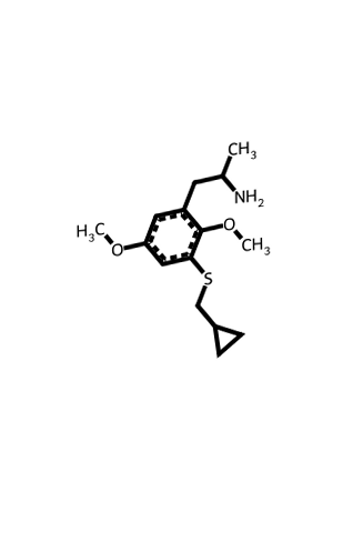 COc1cc(CC(C)N)c(OC)c(SCC2CC2)c1